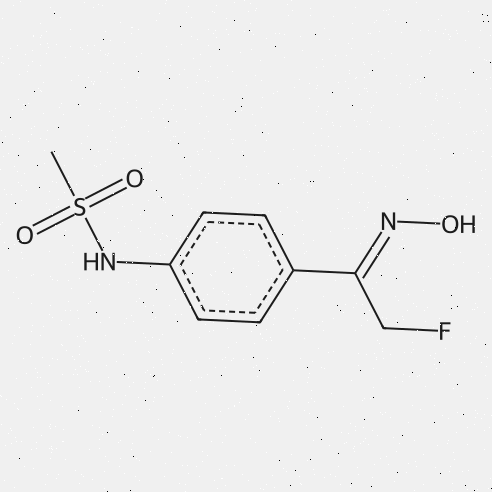 CS(=O)(=O)Nc1ccc(C(CF)=NO)cc1